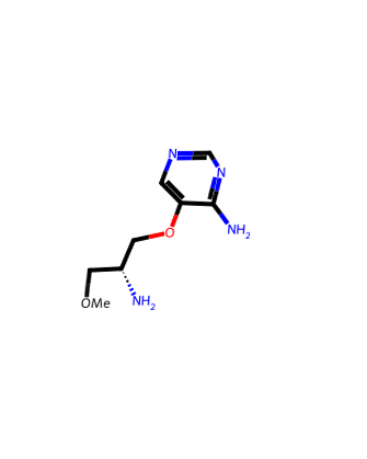 COC[C@@H](N)COc1cncnc1N